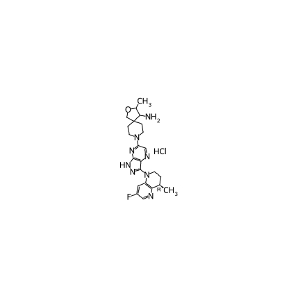 CC1OCC2(CCN(c3cnc4c(N5CC[C@@H](C)c6ncc(F)cc65)n[nH]c4n3)CC2)C1N.Cl